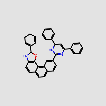 C1=CC(C2Nc3ccc4ccc5ccc(C6=NC(c7ccccc7)=CC(c7ccccc7)N6)cc5c4c3O2)=CCC1